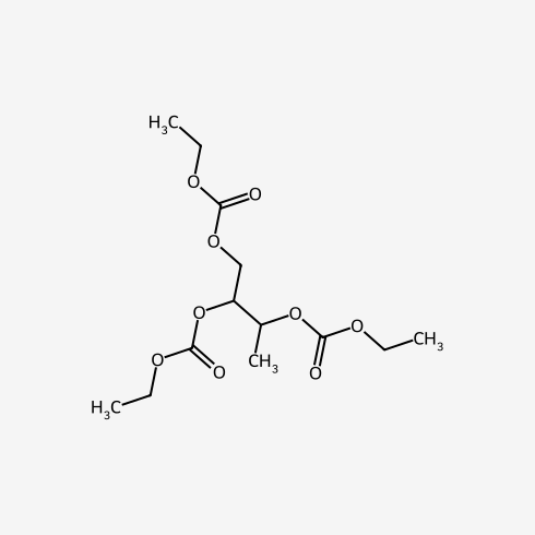 CCOC(=O)OCC(OC(=O)OCC)C(C)OC(=O)OCC